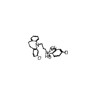 N=S(=O)(NCCCN1c2ccccc2CCc2ccc(Cl)cc21)c1ccc(Cl)cc1Cl